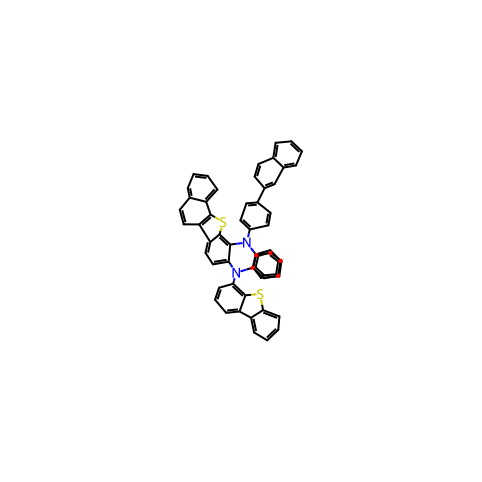 c1ccc(N(c2ccc3c(sc4c5ccccc5ccc34)c2N(c2ccccc2)c2ccc(-c3ccc4ccccc4c3)cc2)c2cccc3c2sc2ccccc23)cc1